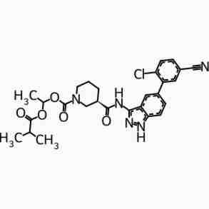 CC(OC(=O)C(C)C)OC(=O)N1CCC[C@@H](C(=O)Nc2n[nH]c3ccc(-c4cc(C#N)ccc4Cl)cc23)C1